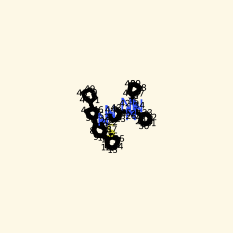 C1=CC(c2ccc3c4ccc5c6ccccc6sc5c4n(-c4ccc(-c5nc(-c6ccccc6)nc(-c6ccccc6)n5)cn4)c3c2)=CCC1